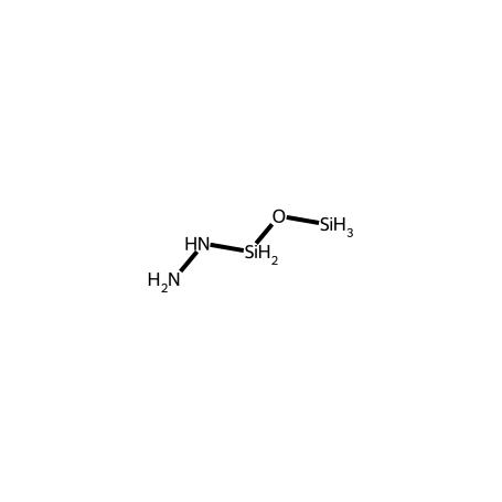 NN[SiH2]O[SiH3]